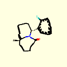 O=C1CC=C[C@@H]2CCC[C@H](c3ccccc3F)N12